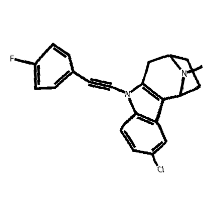 CN1C2CCC1c1c(n(C#Cc3ccc(F)cc3)c3ccc(Cl)cc13)C2